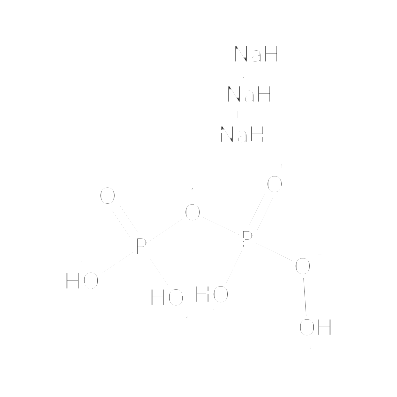 O=P(O)(O)OP(=O)(O)OO.[NaH].[NaH].[NaH]